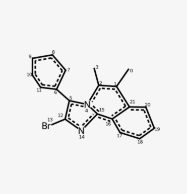 Cc1c(C)n2c(-c3ccccc3)c(Br)nc2c2ccccc12